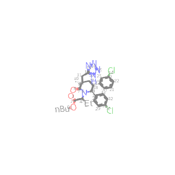 CCCCOC(=O)C(CC)N1C(=O)[C@@](C)(Cc2nnn[nH]2)C[C@H](c2cccc(Cl)c2)[C@H]1c1ccc(Cl)cc1